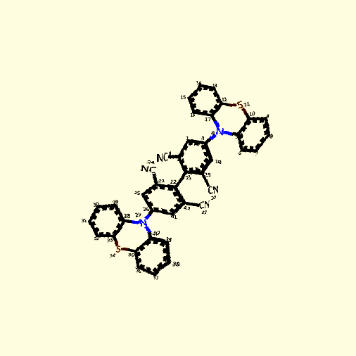 N#Cc1cc(N2c3ccccc3Sc3ccccc32)cc(C#N)c1-c1c(C#N)cc(N2c3ccccc3Sc3ccccc32)cc1C#N